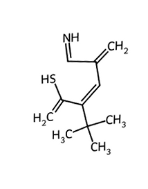 C=C(C=N)/C=C(\C(=C)S)C(C)(C)C